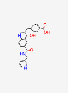 O=C(O)c1ccc(Cc2cnc3ccc(C(=O)NCc4cccnc4)cc3c2O)cc1